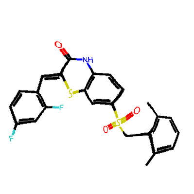 Cc1cccc(C)c1CS(=O)(=O)c1ccc2c(c1)SC(=Cc1ccc(F)cc1F)C(=O)N2